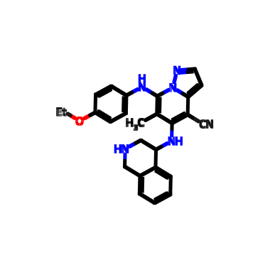 CCOc1ccc(Nc2c(C)c(NC3CNCc4ccccc43)c(C#N)c3ccnn23)cc1